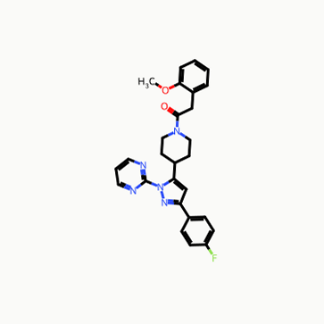 COc1ccccc1CC(=O)N1CCC(c2cc(-c3ccc(F)cc3)nn2-c2ncccn2)CC1